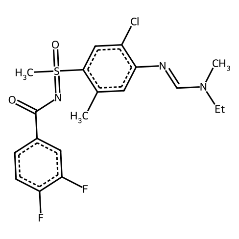 CCN(C)C=Nc1cc(C)c(S(C)(=O)=NC(=O)c2ccc(F)c(F)c2)cc1Cl